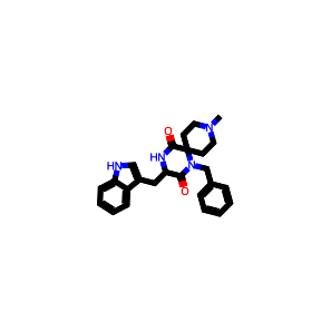 CN1CCC2(CC1)C(=O)NC(Cc1c[nH]c3ccccc13)C(=O)N2Cc1ccccc1